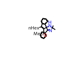 CCCCCCC1=C(C(=O)OC)C2(NC(C)(C)N=C2c2ccccc2)c2ccccc21